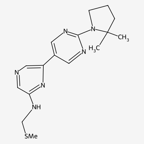 CSCNc1cncc(-c2cnc(N3CCCC3(C)C)nc2)n1